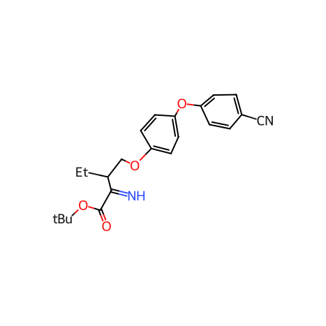 CCC(COc1ccc(Oc2ccc(C#N)cc2)cc1)C(=N)C(=O)OC(C)(C)C